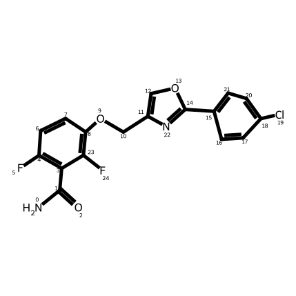 NC(=O)c1c(F)ccc(OCc2coc(-c3ccc(Cl)cc3)n2)c1F